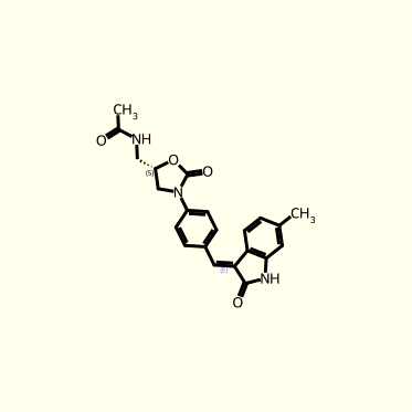 CC(=O)NC[C@H]1CN(c2ccc(/C=C3/C(=O)Nc4cc(C)ccc43)cc2)C(=O)O1